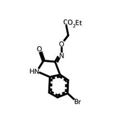 CCOC(=O)CON=C1C(=O)Nc2ccc(Br)cc21